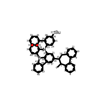 CC1c2ccccc2-c2ccccc2CC1c1cc2c3c(c1)N(c1ccc(C(C)(C)C)cc1-c1ccccc1)c1ccccc1B3c1ccccc1-2